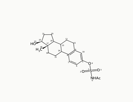 CC(=O)NS(=O)(=O)Oc1ccc2c(c1)CCC1C2CC[C@@]2(C)C1CC[C@@H]2O